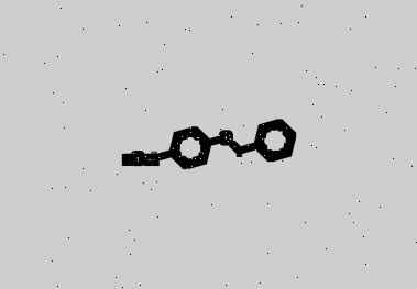 CCCCCCCCc1ccc(O[CH]c2ccccc2)cc1